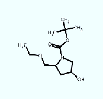 CCOC[C@@H]1C[C@H](O)CN1C(=O)OC(C)(C)C